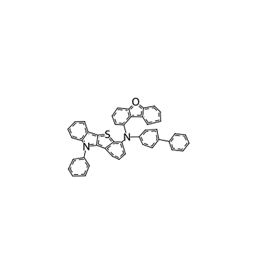 c1ccc(-c2ccc(N(c3cccc4c3sc3c5ccccc5n(-c5ccccc5)c43)c3cccc4oc5ccccc5c34)cc2)cc1